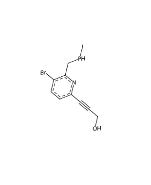 OCC#Cc1ccc(Br)c(CPI)n1